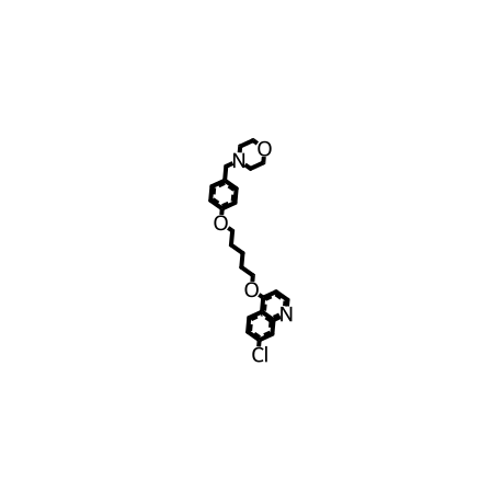 Clc1ccc2c(OCCCCCOc3ccc(CN4CCOCC4)cc3)ccnc2c1